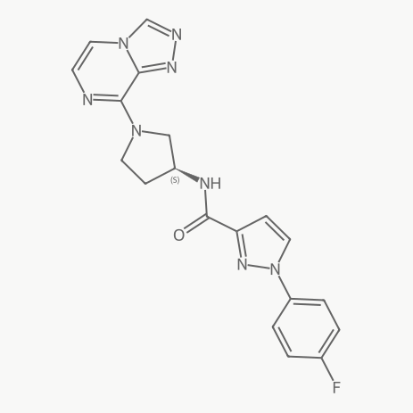 O=C(N[C@H]1CCN(c2nccn3cnnc23)C1)c1ccn(-c2ccc(F)cc2)n1